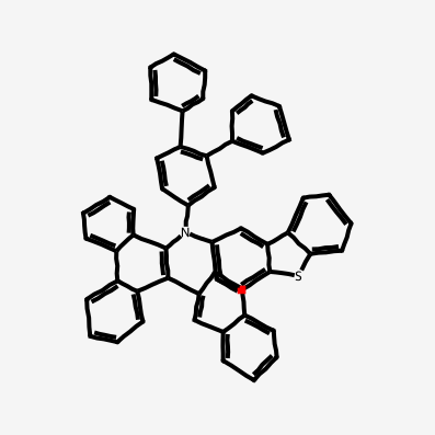 c1ccc(-c2ccc(N(c3ccc4sc5ccccc5c4c3)c3c(-c4ccc5ccccc5c4)c4ccccc4c4ccccc34)cc2-c2ccccc2)cc1